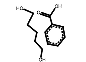 O=C(O)c1ccccc1.OCCCCCO